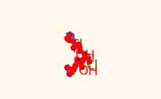 CCC(=NN(Cc1ccccc1)Cc1ccccc1)c1ccc(Cl)cc1.CCC(=NN(Cc1ccccc1)Cc1ccccc1)c1ccc(O)cc1.CCC(=NN(Cc1ccccc1)c1ccccc1)c1ccc(O)cc1.CCC(=NN(Cc1ccccc1)c1ccccc1)c1ccccc1.CCC(=NN(c1ccccc1)c1ccccc1)c1ccc(Cl)cc1